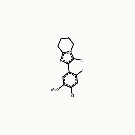 COc1cc(-c2nc3n(c2Cl)CCCC3)c(F)cc1Cl